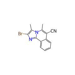 Cc1c(Br)nc2c3ccccc3c(C#N)c(C)n12